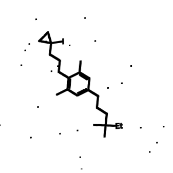 CCC(C)(C)CCCc1cc(C)c(CCCC2(I)CC2)c(C)c1